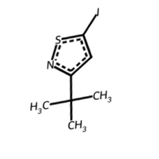 CC(C)(C)c1cc(I)sn1